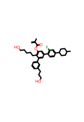 C=C(C)C(=O)Oc1cc(-c2ccc(C3CCC(C)CC3)cc2F)cc(-c2cccc(CCCO)c2)c1CCCCCO